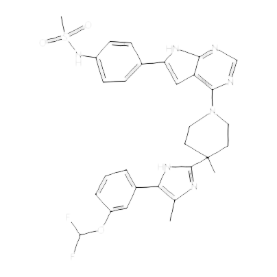 Cc1nc(C2(C)CCN(c3ncnc4[nH]c(-c5ccc(NS(C)(=O)=O)cc5)cc34)CC2)[nH]c1-c1cccc(OC(F)F)c1